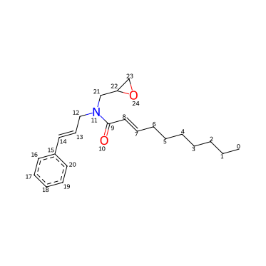 CCCCCCCC=CC(=O)N(CC=Cc1ccccc1)CC1CO1